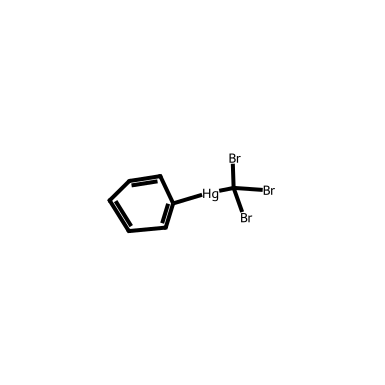 Br[C](Br)(Br)[Hg][c]1ccccc1